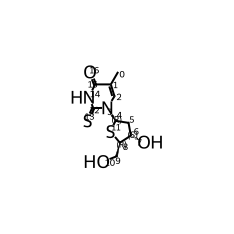 Cc1cn([C@H]2C[C@H](O)[C@@H](CO)S2)c(=S)[nH]c1=O